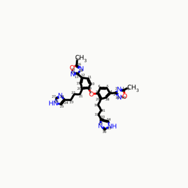 Cc1nc(-c2ccc(Oc3ccc(-c4noc(C)n4)cc3CCCc3c[nH]cn3)c(CCCc3c[nH]cn3)c2)no1